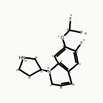 Fc1cc2c(cc1OC(F)F)N([C@H]1CCNC1)CC=C2